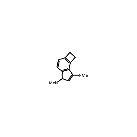 CNC1=[C]C(NC)c2ccc3c(c21)CC3